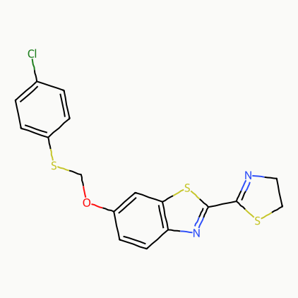 Clc1ccc(SCOc2ccc3nc(C4=NCCS4)sc3c2)cc1